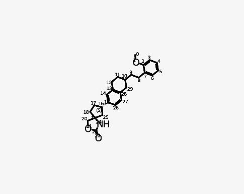 COc1ccccc1CCC1CCc2cc([C@H]3CCC4(COC(=O)N4)C3)ccc2C1